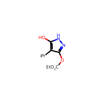 CCOC(=O)Oc1n[nH]c(O)c1C(C)C